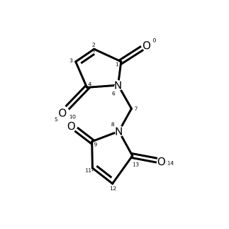 O=C1[C]=CC(=O)N1CN1C(=O)[C]=CC1=O